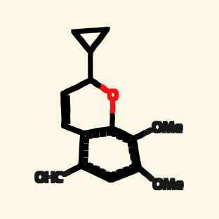 COc1cc(C=O)c2c(c1OC)OC(C1CC1)C=C2